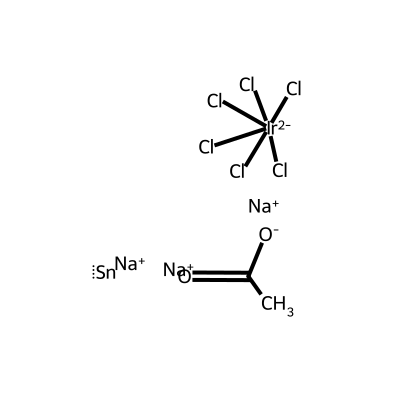 CC(=O)[O-].[Cl][Ir-2]([Cl])([Cl])([Cl])([Cl])[Cl].[Na+].[Na+].[Na+].[Sn]